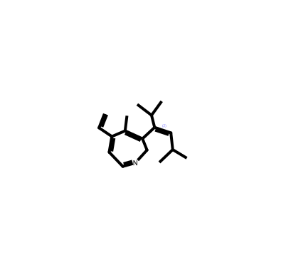 C=CC1=CC=NCC(/C(=C\C(C)C)C(C)C)=C1C